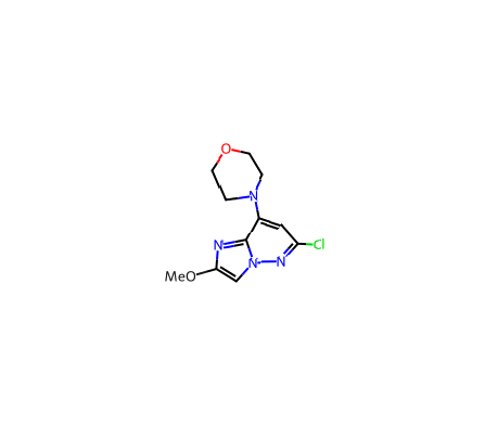 COc1cn2nc(Cl)cc(N3CCOCC3)c2n1